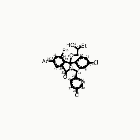 CCC(O)COC1(c2ccc(Cl)cc2)c2c(F)cc(C(C)=O)cc2C(=O)N1Cc1ccc(Cl)cn1